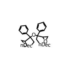 CCCCCCCCCCCC(OC(CCCCCCCCCCC)(c1ccccc1)C1CO1)(c1ccccc1)C1CO1